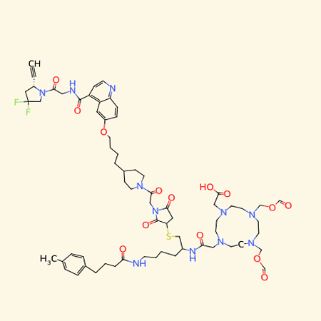 C#C[C@H]1CC(F)(F)CN1C(=O)CNC(=O)c1ccnc2ccc(OCCCCC3CCN(C(=O)CN4C(=O)CC(SCC(CCCCNC(=O)CCCc5ccc(C)cc5)NC(=O)CN5CCN(COC=O)CCN(COC=O)CCN(CC(=O)O)CC5)C4=O)CC3)cc12